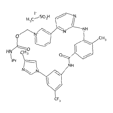 CS(=O)(=O)O.Cc1cn(-c2cc(NC(=O)c3ccc(C)c(Nc4nccc(-c5ccc[n+](COC(=O)NC(C)C)c5)n4)c3)cc(C(F)(F)F)c2)cn1.[I-]